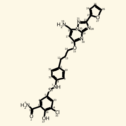 NC(=O)c1cc(SNc2ccc(CCCOc3cc(N)n4nc(-c5ccco5)nc4n3)cc2)cc(Cl)c1O